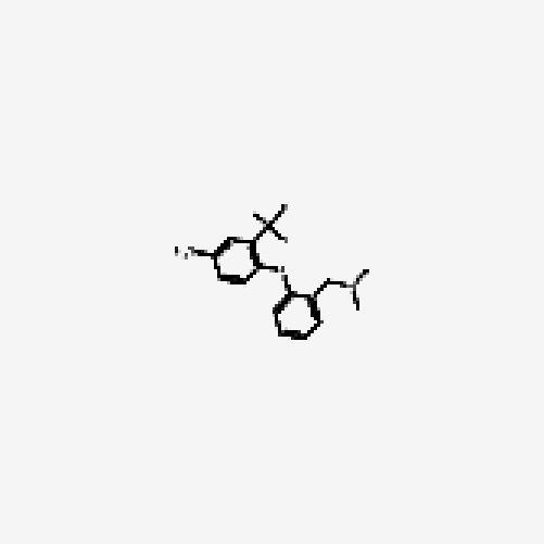 CN(C)Cc1ccccc1Sc1ccc(N)cc1C(F)(F)F